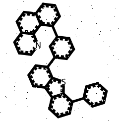 c1ccc(-c2cccc3c2sc2c(-c4cccc(-c5cccc6ccc7cccnc7c56)c4)cccc23)cc1